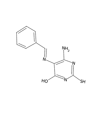 Nc1nc(S)nc(O)c1N=Cc1ccccc1